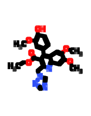 CCOC(=O)c1c(Cn2cncn2)nc2cc(OC)c(OC)cc2c1-c1ccc(O)c(OC)c1